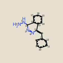 NNC1N=NC(=Cc2ccccc2)c2ccccc21